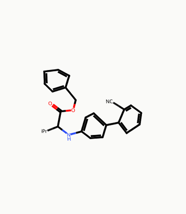 CC(C)C(Nc1ccc(-c2ccccc2C#N)cc1)C(=O)OCc1ccccc1